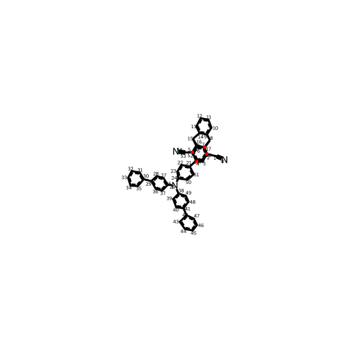 N#Cc1cccc2c1C1c3ccccc3C2c2c1ccc(-c1ccc(N(c3ccc(-c4ccccc4)cc3)c3ccc(-c4ccccc4)cc3)cc1)c2C#N